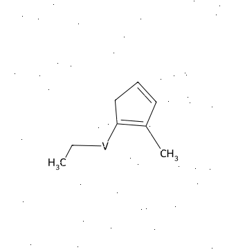 C[CH2][V][C]1=C(C)C=CC1